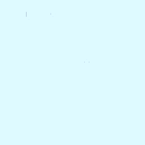 [CH2]OCc1ccccc1OCc1ccccc1